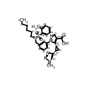 CCCCCCN(Cc1cccc(-n2ncc(C(=O)O)c2[C@@H]2C[C@H]2c2cn(C)nn2)c1)S(=O)(=O)c1ccccc1C